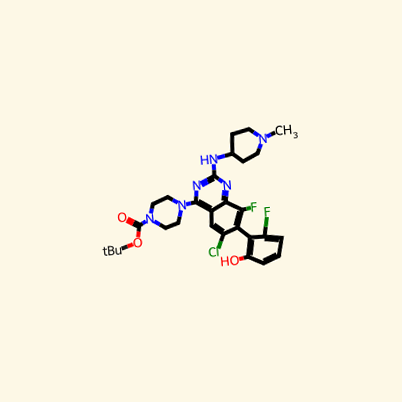 CN1CCC(Nc2nc(N3CCN(C(=O)OC(C)(C)C)CC3)c3cc(Cl)c(-c4c(O)cccc4F)c(F)c3n2)CC1